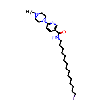 CN1CCN(c2ccc(C(=O)NCCCCCCCCCCCCCCCI)cn2)CC1